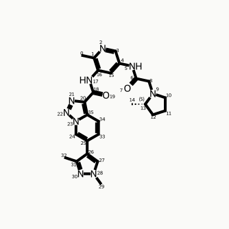 Cc1ncc(NC(=O)CN2CCC[C@@H]2C)cc1NC(=O)c1nnn2cc(-c3cn(C)nc3C)ccc12